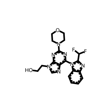 OCCn1cnc2c(-n3c(C(F)F)nc4ccccc43)nc(N3CCOCC3)nc21